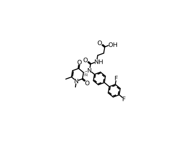 CC1=CC(=O)[C@H](N(C(=O)NCCC(=O)O)c2ccc(-c3ccc(F)cc3F)cc2)C(=O)N1C